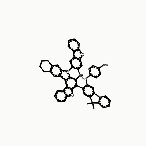 CC(C)(C)c1ccc(Nc2cc3c(cc2-c2c4c5c(c6cc7c(cc6n5-c5cc6c(cc5B4)oc4ccccc46)CCCC7)c4c2oc2ccccc24)C(C)(C)c2ccccc2-3)cc1